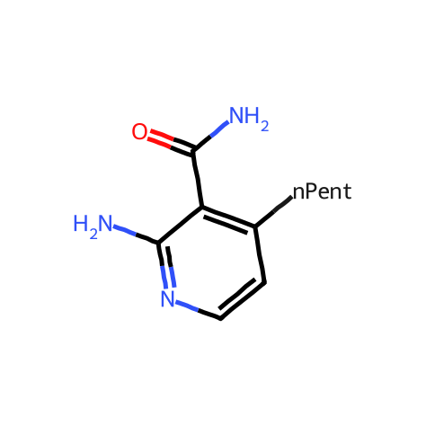 CCCCCc1ccnc(N)c1C(N)=O